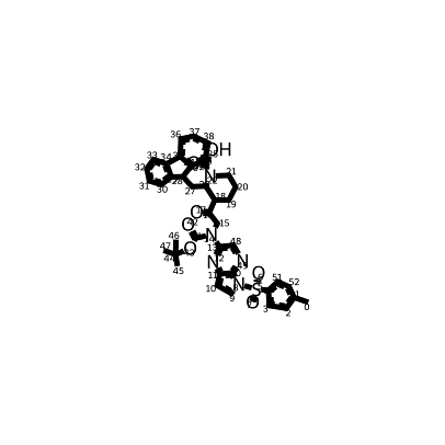 Cc1ccc(S(=O)(=O)n2ccc3nc(N(CC(=O)C4CCCN(C(=O)O)C4CC4c5ccccc5-c5ccccc54)C(=O)OC(C)(C)C)cnc32)cc1